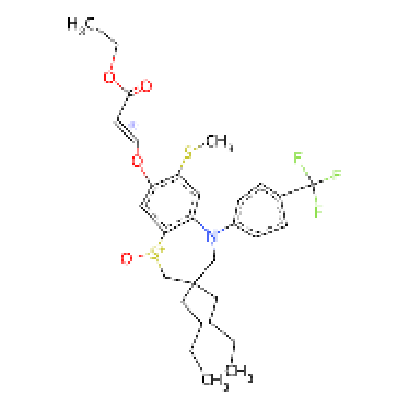 CCCCC1(CCCC)CN(c2ccc(C(F)(F)F)cc2)c2cc(SC)c(O/C=C/C(=O)OCC)cc2[S+]([O-])C1